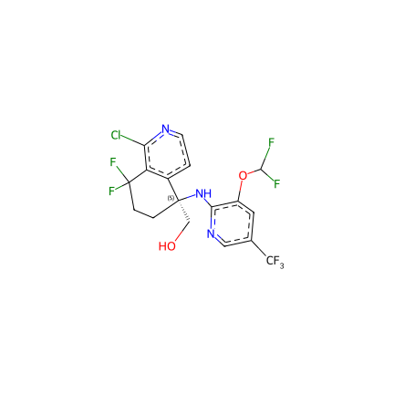 OC[C@]1(Nc2ncc(C(F)(F)F)cc2OC(F)F)CCC(F)(F)c2c1ccnc2Cl